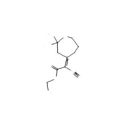 [C-]#[N+]C(C(=O)OCC)=C1CCCOC(C)(C)C1